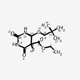 CCOC(=O)C1(F)C(=O)NC(=O)NC1OCC(C)(C)C